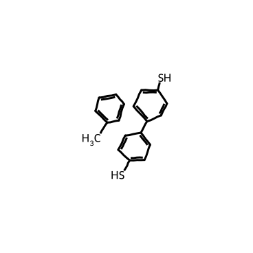 Cc1ccccc1.Sc1ccc(-c2ccc(S)cc2)cc1